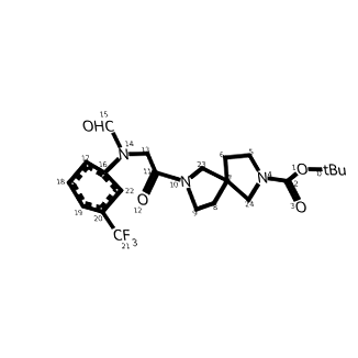 CC(C)(C)OC(=O)N1CCC2(CCN(C(=O)CN(C=O)c3cccc(C(F)(F)F)c3)C2)C1